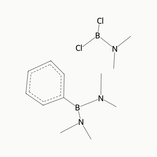 CN(C)B(Cl)Cl.CN(C)B(c1ccccc1)N(C)C